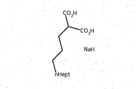 CCCCCCCCCCC(C(=O)O)C(=O)O.[NaH]